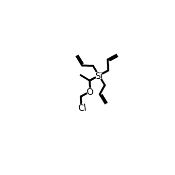 C=CC[Si](CC=C)(CC=C)C(C)OCCl